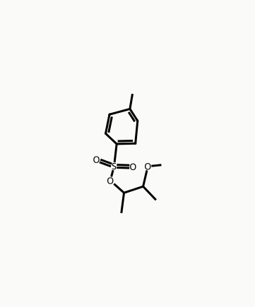 COC(C)C(C)OS(=O)(=O)c1ccc(C)cc1